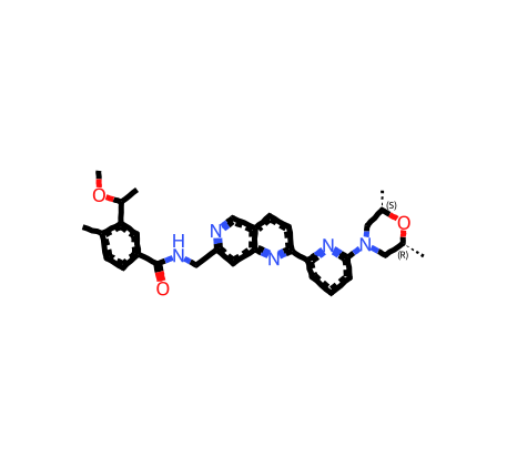 COC(C)c1cc(C(=O)NCc2cc3nc(-c4cccc(N5C[C@@H](C)O[C@@H](C)C5)n4)ccc3cn2)ccc1C